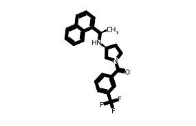 C[C@@H](N[C@H]1CCN(C(=O)c2cccc(C(F)(F)F)c2)C1)c1cccc2ccccc12